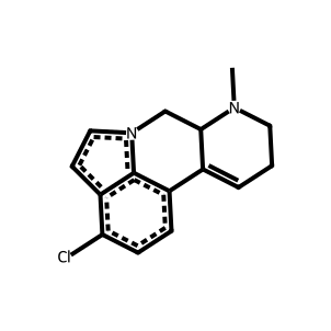 CN1CCC=C2c3ccc(Cl)c4ccn(c34)CC21